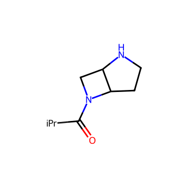 CC(C)C(=O)N1CC2NCCC21